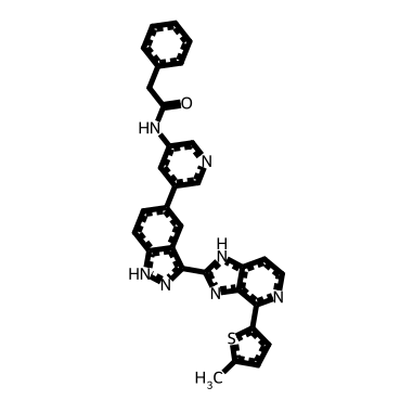 Cc1ccc(-c2nccc3[nH]c(-c4n[nH]c5ccc(-c6cncc(NC(=O)Cc7ccccc7)c6)cc45)nc23)s1